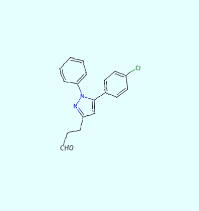 O=CCCc1cc(-c2ccc(Cl)cc2)n(-c2ccccc2)n1